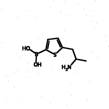 CC(N)Cc1ccc(B(O)O)s1